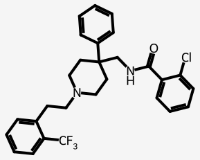 O=C(NCC1(c2ccccc2)CCN(CCc2ccccc2C(F)(F)F)CC1)c1ccccc1Cl